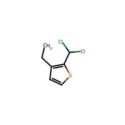 CCc1ccsc1C(Cl)Cl